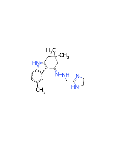 Cc1ccc2[nH]c3c(c2c1)C(=NNCC1=NCCN1)CC(C)(C)C3